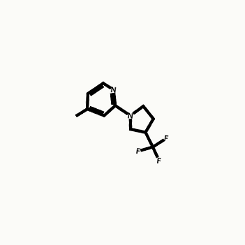 Cc1ccnc(N2CCC(C(F)(F)F)C2)c1